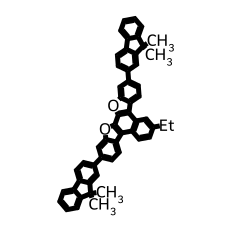 CCc1ccc2c(c1)c1c3ccc(-c4ccc5c(c4)C(C)(C)c4ccccc4-5)cc3oc1c1oc3cc(-c4ccc5c(c4)C(C)(C)c4ccccc4-5)ccc3c21